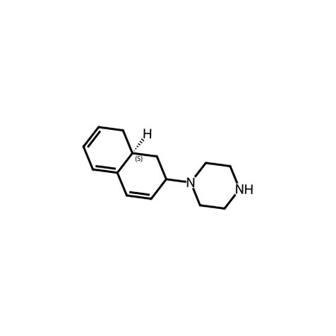 C1=CC[C@H]2CC(N3CCNCC3)C=CC2=C1